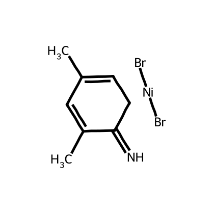 CC1=CCC(=N)C(C)=C1.[Br][Ni][Br]